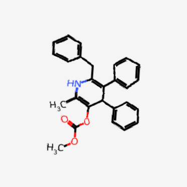 COC(=O)OC1=C(C)NC(Cc2ccccc2)=C(c2ccccc2)C1c1ccccc1